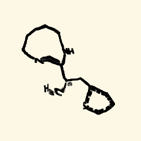 C[C@@H](Cc1cccs1)C1=NCCCCN1